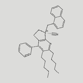 CCCCCc1nc2c(c(-c3ccccc3)c1CCCCC)CC[C@@]2(C#N)Cc1cccc2ccccc12